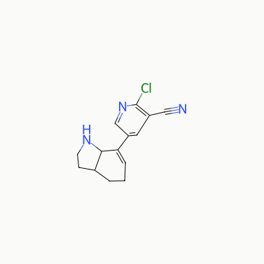 N#Cc1cc(C2=CCCC3CCNC23)cnc1Cl